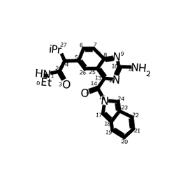 CCNC(=O)C(c1ccc2nc(N)nc(C(=O)n3cc4ccccc4c3)c2c1)C(C)C